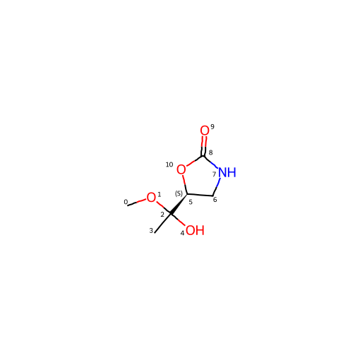 COC(C)(O)[C@@H]1CNC(=O)O1